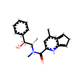 Cc1cc(C(=O)N(C)[C@@H](C)[C@@H](O)c2ccccc2)nc2c1=CCC=2